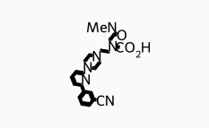 CNC(=O)CN(CCN1CCN(c2cccc(-c3cccc(C#N)c3)n2)CC1)C(=O)O